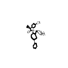 O=C(NC1CC[C@H](c2ccccc2)CC1CO)C1(c2ccc(Cl)cc2)CC1